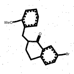 COc1ccccc1CC1CCc2ccc(Br)cc2C1=O